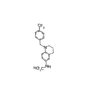 O=C(O)Nc1ccc2c(c1)CCCN2Cc1ccc(C(F)(F)F)cc1